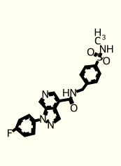 CNS(=O)(=O)c1ccc(CNC(=O)c2cncc3c2cnn3-c2ccc(F)cc2)cc1